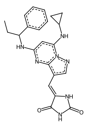 CCC(Nc1cc(NC2CC2)n2ncc(/C=C3\NC(=O)NC3=O)c2n1)c1ccccc1